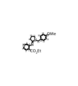 CCOC(=O)c1ccncc1/N=C1\CCCN1Cc1ccc(OC)cc1